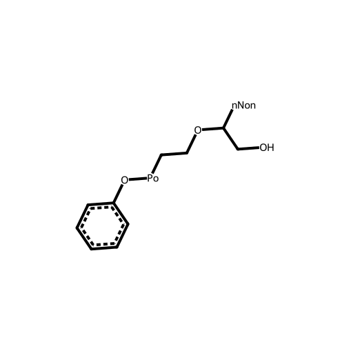 CCCCCCCCCC(CO)OC[CH2][Po][O]c1ccccc1